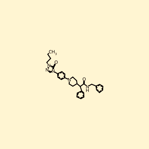 CCCCn1ncn(-c2ccc(N3CCC(C(C(=O)NCc4ccccc4)c4ccccc4)CC3)cc2)c1=O